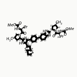 COC(=O)N[C@H](C(=O)N1C[C@@H](C)CC1c1nc(-c2ccc(-c3ccc4nc([C@@H]5C[C@H](C)CN5C(=O)[C@@H](NC(=O)OC)C(C)C)[nH]c4c3)cc2)c(-c2cc3sccc3s2)[nH]1)C(C)C